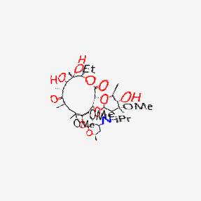 CC[C@H]1OC(=O)[C@H](C)[C@@H](O[C@@H]2C[C@@](C)(OC)[C@@H](O)[C@H](C)O2)[C@H](C)[C@@H](O[C@@H]2O[C@H](C)C[C@H](N(C)C(C)C)[C@H]2OC)[C@@](C)(OC)C[C@@H](C)C(=O)[C@H](C)[C@@H](O)[C@]1(C)O